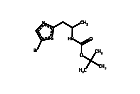 CC(Cc1ncc(Br)s1)NC(=O)OC(C)(C)C